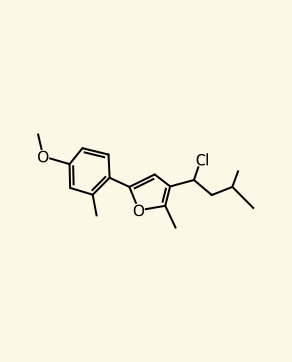 COc1ccc(-c2cc(C(Cl)CC(C)C)c(C)o2)c(C)c1